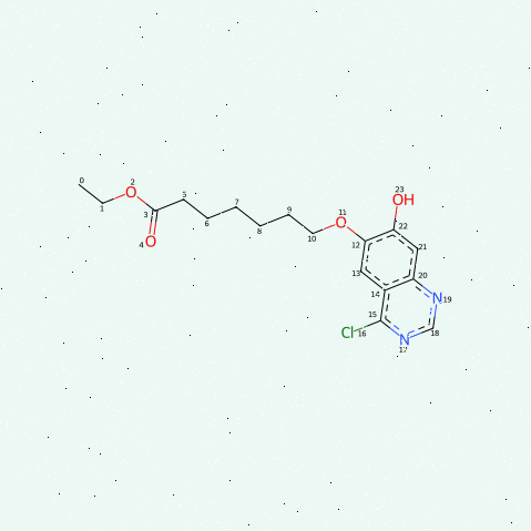 CCOC(=O)CCCCCCOc1cc2c(Cl)ncnc2cc1O